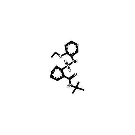 CCOc1ccncc1NS(=O)(=O)c1ccccc1C(=O)NC(C)(C)C